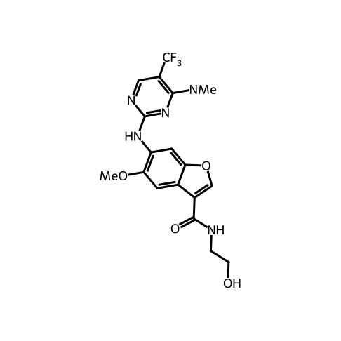 CNc1nc(Nc2cc3occ(C(=O)NCCO)c3cc2OC)ncc1C(F)(F)F